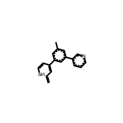 C=C/C=C(\C=C/N)c1cc(C)cc(-c2cccnc2)c1